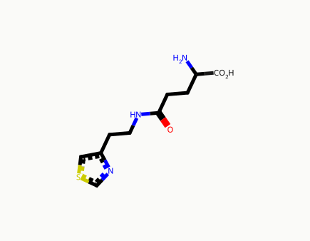 NC(CCC(=O)NCCc1cscn1)C(=O)O